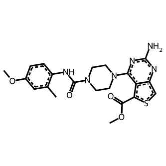 COC(=O)c1scc2nc(N)nc(N3CCN(C(=O)Nc4ccc(OC)cc4C)CC3)c12